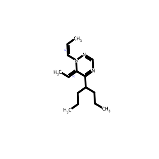 C/C=C\N1N=CN=C(C(CCC)CCC)/C1=C/C